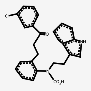 O=C(CCc1ccccc1N(CCc1c[nH]c2ccccc12)C(=O)O)c1cccc(Cl)c1